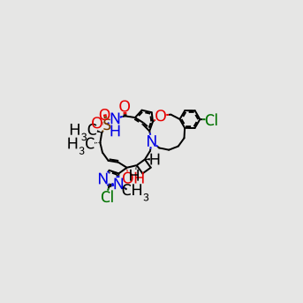 C[C@@H]1[C@@H](C)C/C=C/[C@](O)(c2cnc(Cl)n2C)[C@@H]2CC[C@H]2CN2CCCCc3cc(Cl)ccc3COc3ccc(cc32)C(=O)NS1(=O)=O